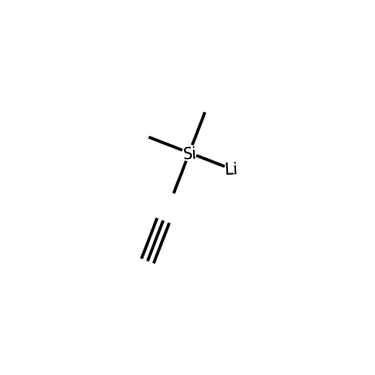 C#C.[Li][Si](C)(C)C